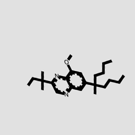 CCCCC(C)(CCCC)c1cc(OC)c2nc(C(C)(C)CC)cnc2c1